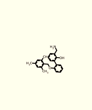 Cc1cc(C)c(COc2ccccc2-c2cccc(CN)c2O)c(C)c1